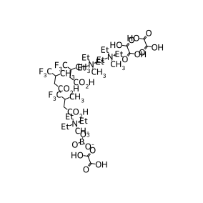 CC(CC(=O)O)C(F)(F)F.CC(CC(=O)O)C(F)(F)F.CC(CC(=O)O)C(F)(F)F.CC[N+](C)(CC)CC.CC[N+](C)(CC)CC.CC[N+](C)(CC)CC.O=C(O)C(=O)O.O=C(O)C(=O)O.O=C(O)C(=O)O.[O-]B([O-])[O-]